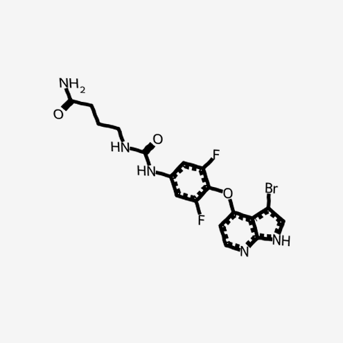 NC(=O)CCCNC(=O)Nc1cc(F)c(Oc2ccnc3[nH]cc(Br)c23)c(F)c1